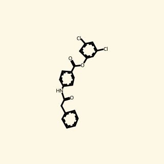 O=C(Cc1ccccc1)Nc1ccc(C(=O)Oc2cc(Cl)cc(Cl)c2)cc1